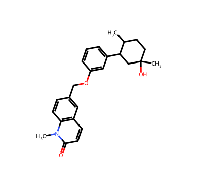 CC1CCC(C)(O)CC1c1cccc(OCc2ccc3c(ccc(=O)n3C)c2)c1